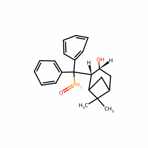 CC1(C)C2CC1[C@H](C([PH2]=O)(c1ccccc1)c1ccccc1)[C@H](O)C2